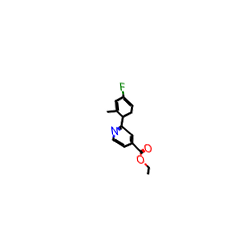 CCOC(=O)c1ccnc(C2CC=C(F)C=C2C)c1